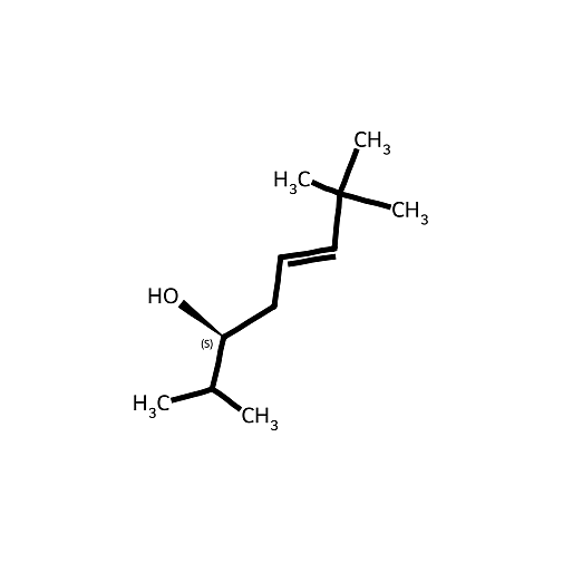 CC(C)[C@@H](O)CC=CC(C)(C)C